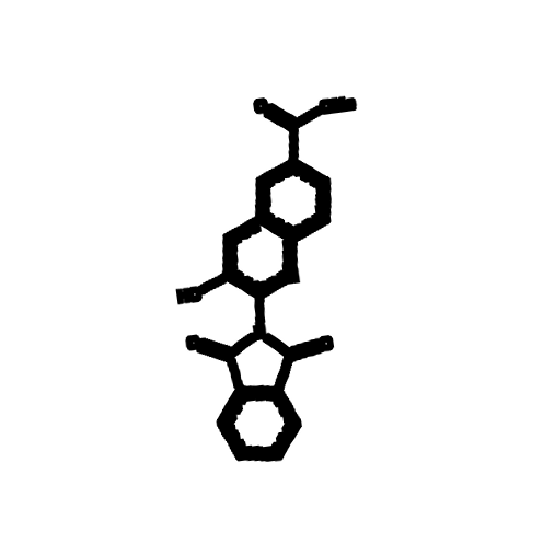 COC(=O)c1ccc2nc(N3C(=O)c4ccccc4C3=O)c(O)cc2c1